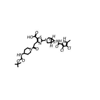 Cc1[nH]c(C(=O)N[C@@H]2[C@@H]3CN(c4nc(CC(=O)N5CCC(NC(=O)OC(C)(C)C)CC5)c(C(=O)O)s4)C[C@@H]32)c(Cl)c1Cl